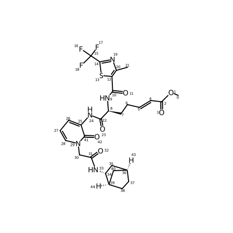 COC(=O)/C=C/CC[C@H](NC(=O)c1sc(C(F)(F)F)nc1C)C(=O)Nc1cccn(CC(=O)N[C@@H]2C[C@H]3CC[C@@H]2C3)c1=O